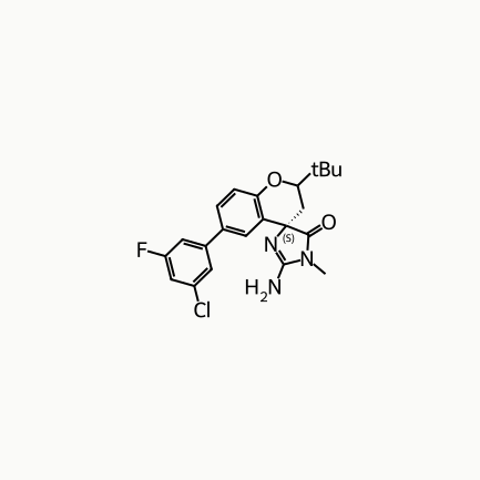 CN1C(=O)[C@@]2(CC(C(C)(C)C)Oc3ccc(-c4cc(F)cc(Cl)c4)cc32)N=C1N